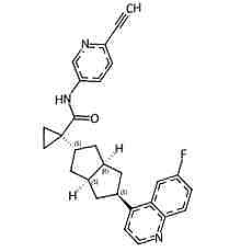 C#Cc1ccc(NC(=O)C2([C@@H]3C[C@H]4C[C@@H](c5ccnc6ccc(F)cc56)C[C@H]4C3)CC2)cn1